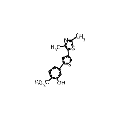 Cc1nc(C)c(-c2csc(-c3ccc(C(=O)O)c(O)c3)c2)s1